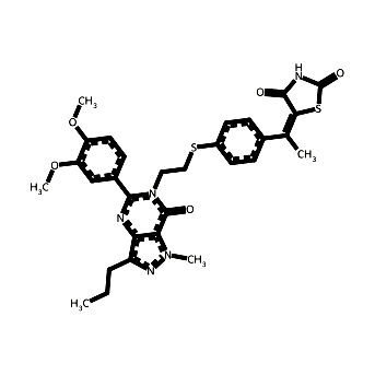 CCCc1nn(C)c2c(=O)n(CCSc3ccc(/C(C)=C4/SC(=O)NC4=O)cc3)c(-c3ccc(OC)c(OC)c3)nc12